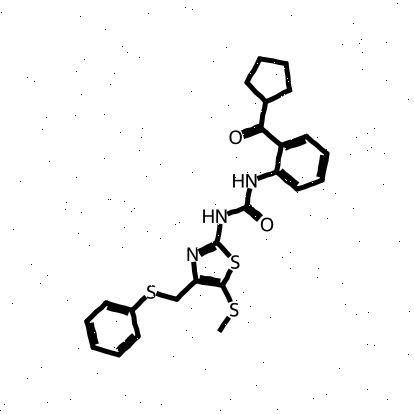 CSc1sc(NC(=O)Nc2ccccc2C(=O)C2CCCC2)nc1CSc1ccccc1